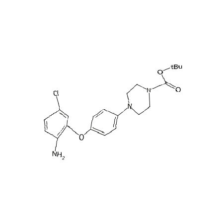 CC(C)(C)OC(=O)N1CCN(c2ccc(Oc3cc(Cl)ccc3N)cc2)CC1